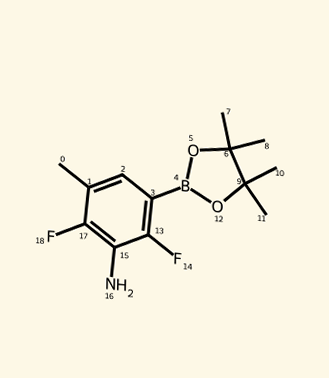 Cc1cc(B2OC(C)(C)C(C)(C)O2)c(F)c(N)c1F